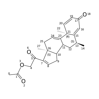 CC(=O)OCC(=O)C1=CCC2C3C[C@H](C)C4=CC(=O)C=C[C@]4(C)C3=CC[C@]12C